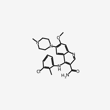 COc1cc2ncc(C(N)=O)c(Nc3cccc(Cl)c3C)c2cc1N1CCN(C)CC1